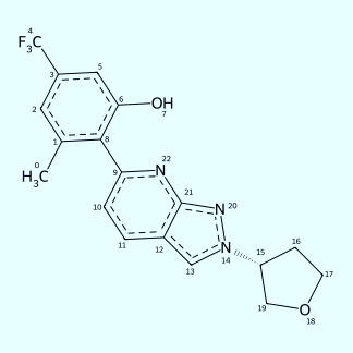 Cc1cc(C(F)(F)F)cc(O)c1-c1ccc2cn([C@@H]3CCOC3)nc2n1